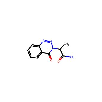 CC(C(N)=O)n1nnc2ccccc2c1=O